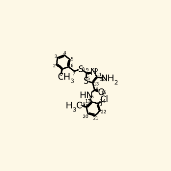 Cc1ccccc1CSc1nc(N)c(C(=O)Nc2c(C)cccc2Cl)s1